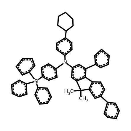 CC1(C)c2cc(-c3ccccc3)ccc2-c2c(-c3ccccc3)cc(N(c3ccc(C4CCCCC4)cc3)c3ccc([Si](c4ccccc4)(c4ccccc4)c4ccccc4)cc3)cc21